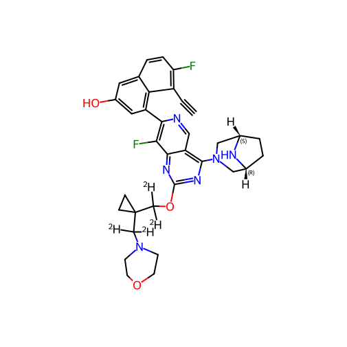 [2H]C([2H])(Oc1nc(N2C[C@H]3CC[C@@H](C2)N3)c2cnc(-c3cc(O)cc4ccc(F)c(C#C)c34)c(F)c2n1)C1(C([2H])([2H])N2CCOCC2)CC1